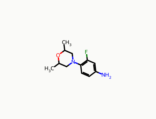 CC1CN(c2ccc(N)cc2F)CC(C)O1